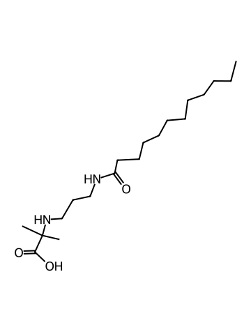 CCCCCCCCCCCC(=O)NCCCNC(C)(C)C(=O)O